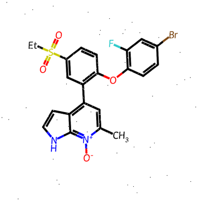 CCS(=O)(=O)c1ccc(Oc2ccc(Br)cc2F)c(-c2cc(C)[n+]([O-])c3[nH]ccc23)c1